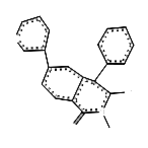 Cn1c(C#N)c(-c2ccccc2)c2cc(-c3cccnc3)ccc2c1=O